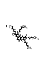 CCCCCOC(=O)C(Cc1c[c]cc(CC(C(=O)OCCCCC)C(=O)OCCCCC)c1)C(=O)OCCCCC